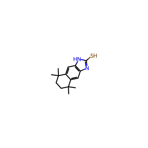 CC1(C)CCC(C)(C)c2cc3[nH]c(S)nc3cc21